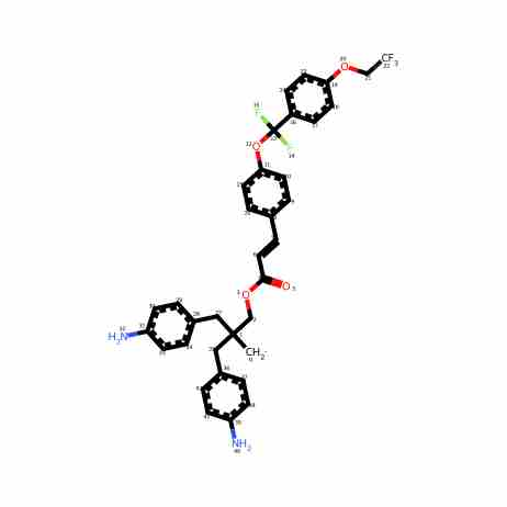 [CH2]C(COC(=O)/C=C/c1ccc(OC(F)(F)c2ccc(OCC(F)(F)F)cc2)cc1)(Cc1ccc(N)cc1)Cc1ccc(N)cc1